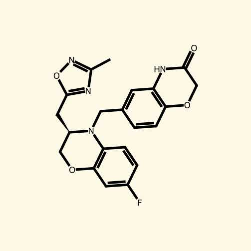 Cc1noc(C[C@@H]2COc3cc(F)ccc3N2Cc2ccc3c(c2)NC(=O)CO3)n1